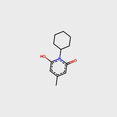 Cc1cc(O)n(C2CCCCC2)c(=O)c1